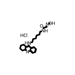 Cl.O=C(C=NO)NCCCCCCNc1c2c(nc3ccccc13)CCCC2